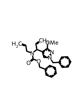 C=CCN(C(=O)OCc1ccccc1)C(C=C)c1cn(Cc2ccccc2)nc1OC